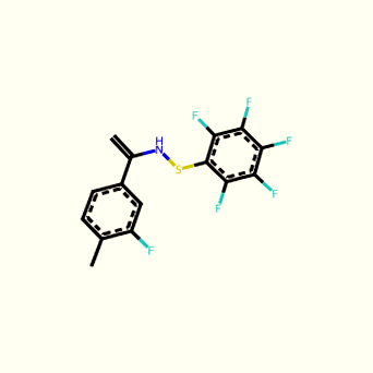 C=C(NSc1c(F)c(F)c(F)c(F)c1F)c1ccc(C)c(F)c1